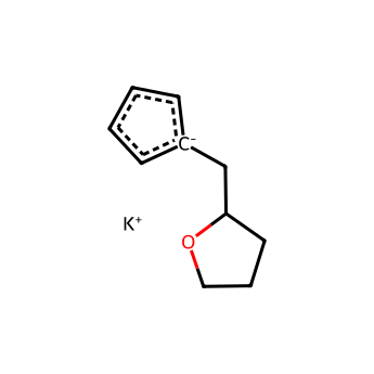 [K+].c1cc[c-](CC2CCCO2)c1